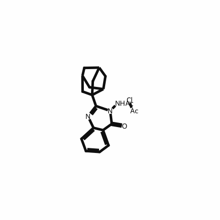 CC(=O)Cl.CC(=O)Nn1c(C23CC4CC(CC2C4)C3)nc2ccccc2c1=O